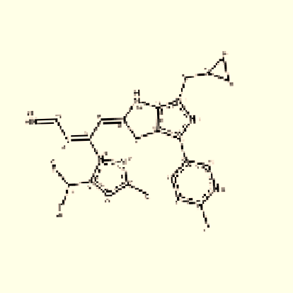 Cc1ccc(-c2nn(CC3CC3)c3c2C/C(=C\C(=N/C=N)n2nc(C)cc2C(F)F)N3)cn1